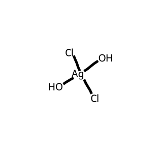 [OH][Ag]([OH])([Cl])[Cl]